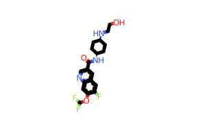 O=C(N[C@H]1CC[C@H](NCCO)CC1)c1cnc2cc(OC(F)F)c(F)cc2c1